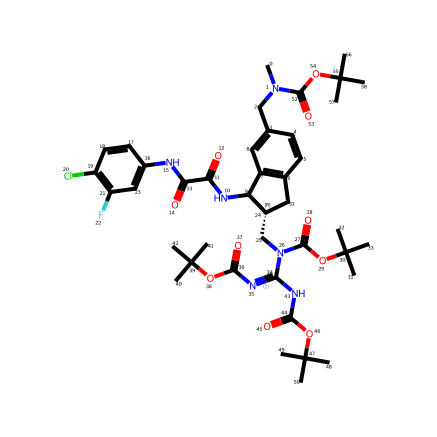 CN(Cc1ccc2c(c1)C(NC(=O)C(=O)Nc1ccc(Cl)c(F)c1)[C@@H](CN(C(=O)OC(C)(C)C)/C(=N\C(=O)OC(C)(C)C)NC(=O)OC(C)(C)C)C2)C(=O)OC(C)(C)C